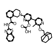 Cc1c(-c2ccc(N3CCc4cccc(C(=O)Nc5nc6ccccc6s5)c4C3)nc2OC(=O)O)ccnc1OCC12CC3CC(CC(C3)C1)C2